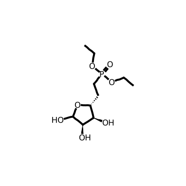 CCOP(=O)(CC[C@H]1OC(O)[C@H](O)[C@@H]1O)OCC